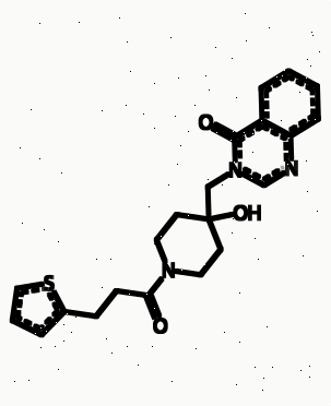 O=C(CCc1cccs1)N1CCC(O)(Cn2cnc3ccccc3c2=O)CC1